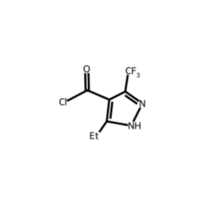 CCc1[nH]nc(C(F)(F)F)c1C(=O)Cl